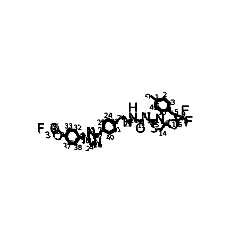 Cc1ccc(C2CC2(F)F)c(N2C(=O)CS/C2=N\C(=O)N/N=C/c2ccc(-c3ncn(-c4ccc(OC(F)(F)F)cc4)n3)cc2)c1